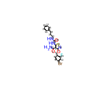 NC(=O)c1c(OCc2ccc(Br)cc2F)nsc1NC(=O)NCCCc1ccccc1